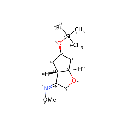 CON=C1CO[C@@H]2C[C@H](O[Si](C)(C)C(C)(C)C)C[C@@H]12